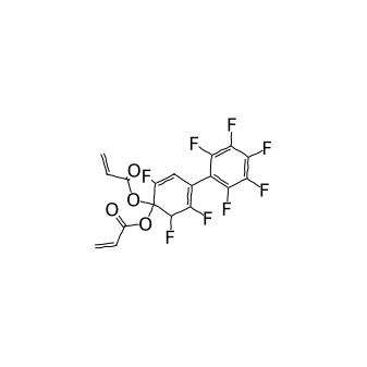 C=CC(=O)OC1(OC(=O)C=C)C(F)=CC(c2c(F)c(F)c(F)c(F)c2F)=C(F)C1F